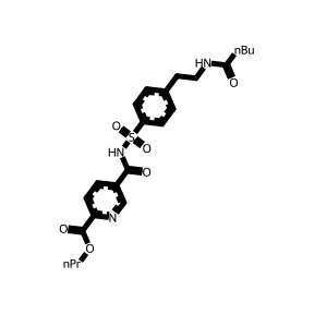 CCCCC(=O)NCCc1ccc(S(=O)(=O)NC(=O)c2ccc(C(=O)OCCC)nc2)cc1